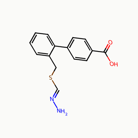 NN=CSCc1ccccc1-c1ccc(C(=O)O)cc1